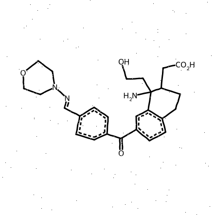 NC1(CCO)c2cc(C(=O)c3ccc(C=NN4CCOCC4)cc3)ccc2CCC1CC(=O)O